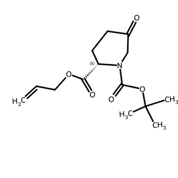 C=CCOC(=O)[C@@H]1CCC(=O)CN1C(=O)OC(C)(C)C